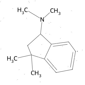 CN(C)C1CC(C)(C)c2cc[c]cc21